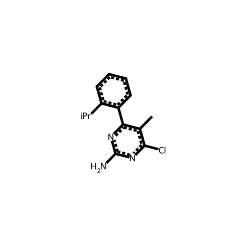 Cc1c(Cl)nc(N)nc1-c1ccccc1C(C)C